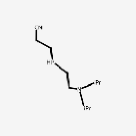 CC(C)N(CCPCCC#N)C(C)C